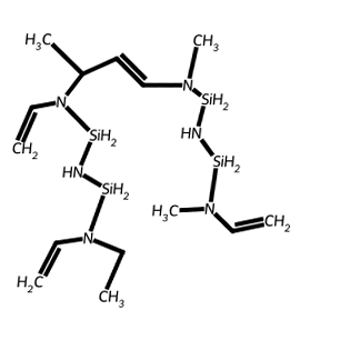 C=CN(C)[SiH2]N[SiH2]N(C)C=CC(C)N(C=C)[SiH2]N[SiH2]N(C=C)CC